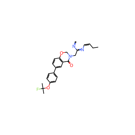 C=N/C(CN1COc2ccc(-c3ccc(OC(C)(C)F)cc3)cc2C1=O)=N\C=C/CC